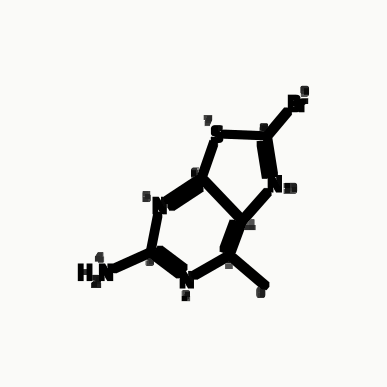 Cc1nc(N)nc2sc(Br)nc12